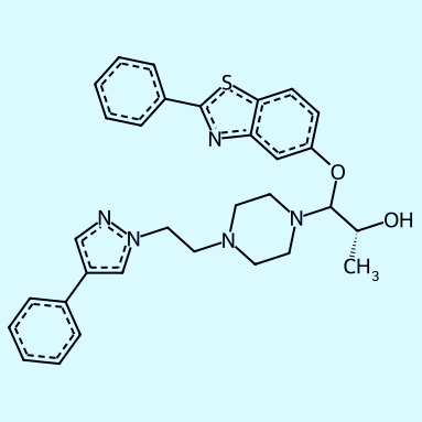 C[C@@H](O)C(Oc1ccc2sc(-c3ccccc3)nc2c1)N1CCN(CCn2cc(-c3ccccc3)cn2)CC1